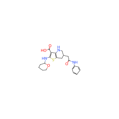 O=C(CC1CNc2c(sc(NC3CCCCO3)c2C(=O)O)C1)Nc1ccccc1